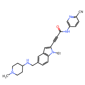 CCn1c(C#CC(=O)Nc2ccc(C#N)nc2)cc2cc(CNC3CCN(C)CC3)ccc21